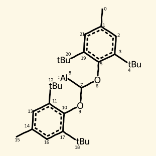 Cc1cc(C(C)(C)C)c(O[CH]([Al])Oc2c(C(C)(C)C)cc(C)cc2C(C)(C)C)c(C(C)(C)C)c1